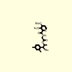 CCC(C)C(c1ccc(C)cc1C)C(C)OC(=O)CNC(=O)c1nccc(OC)c1OC(C)=O